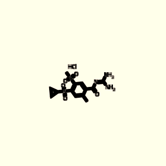 Cc1cc(S(=O)(=O)C2CC2)c(S(C)(=O)=O)cc1C(=O)N=C(N)N.Cl